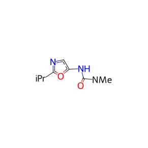 CNC(=O)Nc1cnc(C(C)C)o1